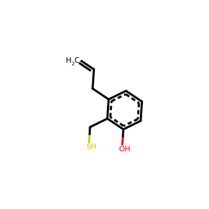 C=CCc1cccc(O)c1CS